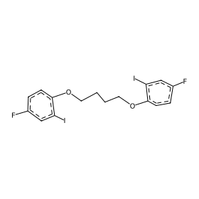 Fc1ccc(OCCCCOc2ccc(F)cc2I)c(I)c1